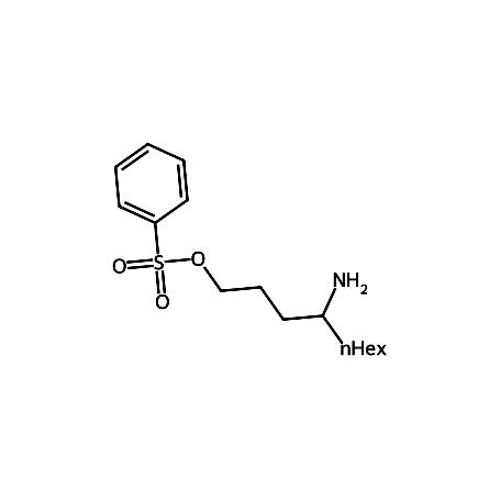 CCCCCCC(N)CCCOS(=O)(=O)c1ccccc1